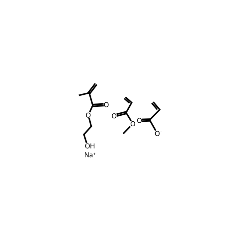 C=C(C)C(=O)OCCO.C=CC(=O)OC.C=CC(=O)[O-].[Na+]